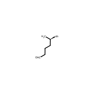 CCC[C@H](C)CCCC=O